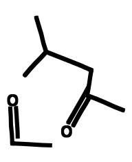 CC(=O)CC(C)C.CC=O